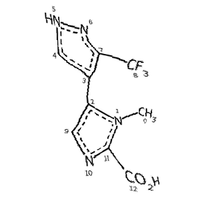 Cn1c(-c2c[nH]nc2C(F)(F)F)cnc1C(=O)O